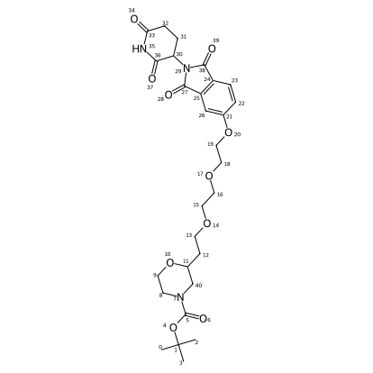 CC(C)(C)OC(=O)N1CCOC(CCOCCOCCOc2ccc3c(c2)C(=O)N(C2CCC(=O)NC2=O)C3=O)C1